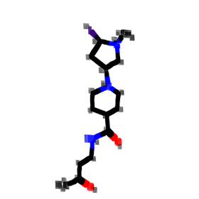 CC(=O)CCNC(=O)C1CCN([C@H]2C[C@@H](I)N(C)C2)CC1